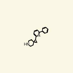 c1ccc(-c2cccc(C3CC34CCNCC4)n2)cc1